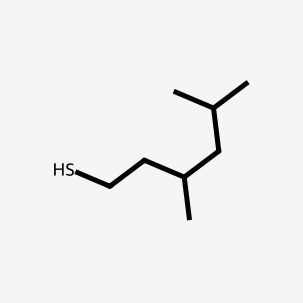 CC(C)CC(C)CCS